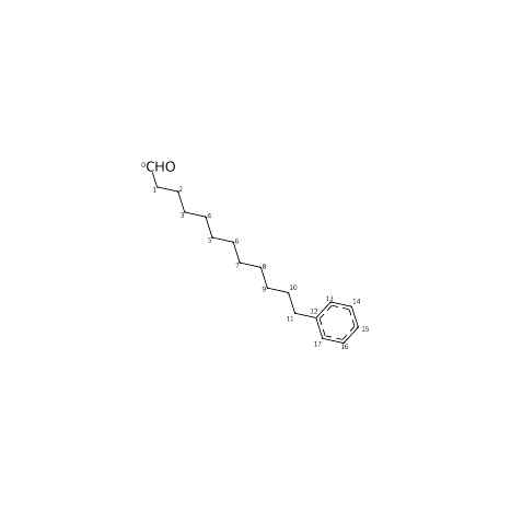 O=CCCCCCCCCCCCc1ccccc1